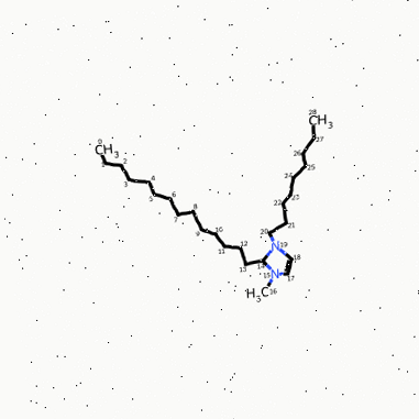 CCCCCCCCCCCCCCC1N(C)C=CN1CCCCCCCCC